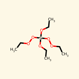 CCOO[Si](OCC)(OCC)OOCC